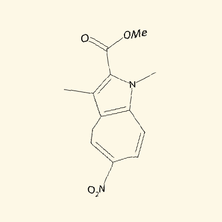 COC(=O)c1c(C)c2cc([N+](=O)[O-])ccc2n1C